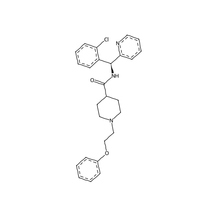 O=C(N[C@H](c1ccccn1)c1ccccc1Cl)C1CCN(CCOc2ccccc2)CC1